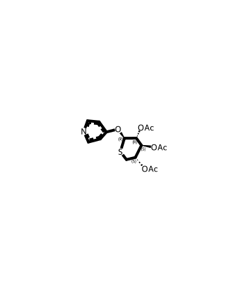 CC(=O)O[C@@H]1[C@@H](OC(C)=O)[C@H](OC(C)=O)CS[C@H]1Oc1ccncc1